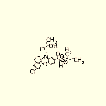 C=CC[C@H](C)S(=O)(=O)NC(=O)c1ccc2c(c1)N(C[C@@H]1CC[C@H]1[C@@H](O)C=C)C[C@@]1(CCCc3cc(Cl)ccc31)CO2